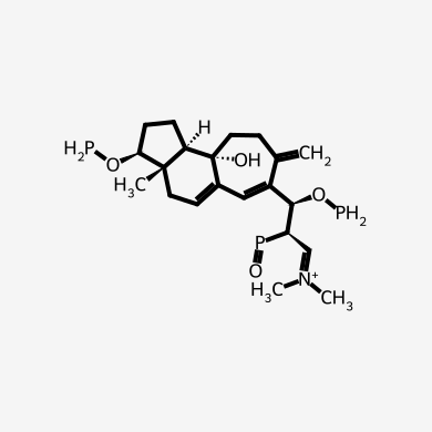 C=C1CC[C@@]2(O)C(=CC[C@]3(C)[C@@H](OP)CC[C@H]32)C=C1[C@@H](OP)[C@@H](C=[N+](C)C)P=O